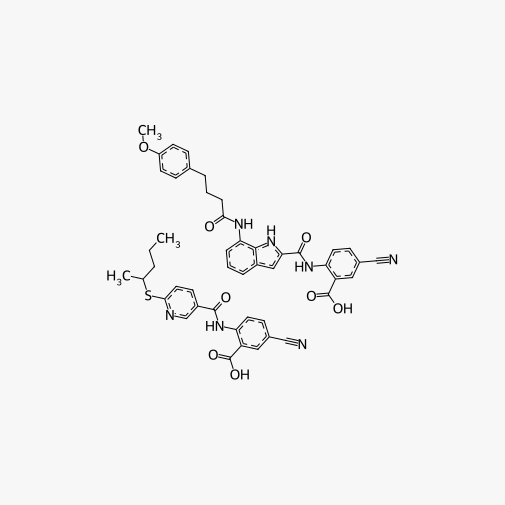 CCCC(C)Sc1ccc(C(=O)Nc2ccc(C#N)cc2C(=O)O)cn1.COc1ccc(CCCC(=O)Nc2cccc3cc(C(=O)Nc4ccc(C#N)cc4C(=O)O)[nH]c23)cc1